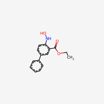 CCOC(=O)c1cc(-c2ccccc2)ccc1NO